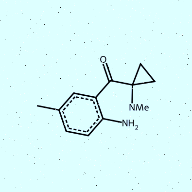 CNC1(C(=O)c2cc(C)ccc2N)CC1